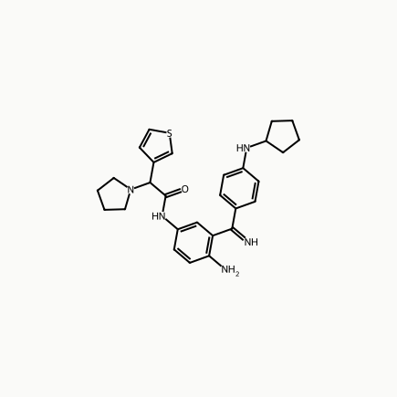 N=C(c1ccc(NC2CCCC2)cc1)c1cc(NC(=O)C(c2ccsc2)N2CCCC2)ccc1N